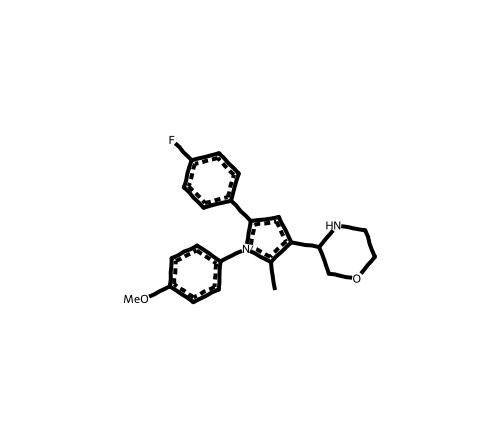 COc1ccc(-n2c(-c3ccc(F)cc3)cc(C3COCCN3)c2C)cc1